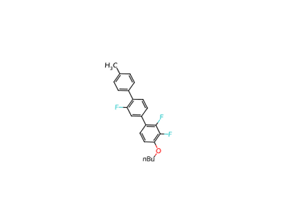 CCCCOc1ccc(-c2ccc(-c3ccc(C)cc3)c(F)c2)c(F)c1F